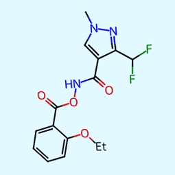 CCOc1ccccc1C(=O)ONC(=O)c1cn(C)nc1C(F)F